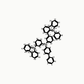 c1ccc(-c2ccc(N(c3cccc(-c4cccc5c6ccccc6n(-c6ccccc6)c45)c3)c3cccc(-n4c5ccccc5c5ccccc54)c3)cc2)cc1